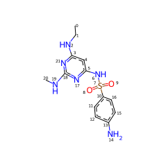 CCNc1cc(NS(=O)(=O)c2ccc(N)cc2)nc(NC)n1